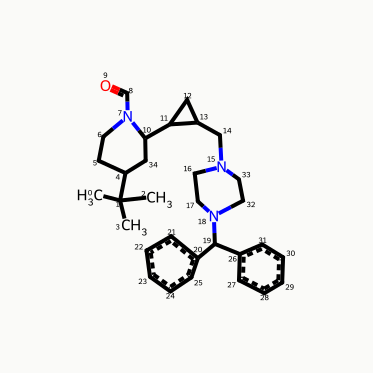 CC(C)(C)C1CCN(C=O)C(C2CC2CN2CCN(C(c3ccccc3)c3ccccc3)CC2)C1